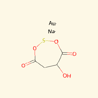 O=C1CC(O)C(=O)OSO1.[Au].[Na]